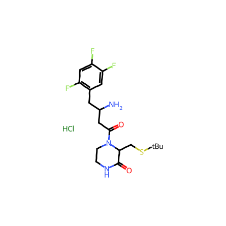 CC(C)(C)SCC1C(=O)NCCN1C(=O)CC(N)Cc1cc(F)c(F)cc1F.Cl